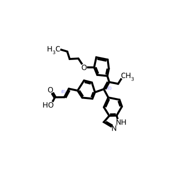 CCCCOc1cccc(/C(CC)=C(\c2ccc(/C=C/C(=O)O)cc2)c2ccc3[nH]ncc3c2)c1